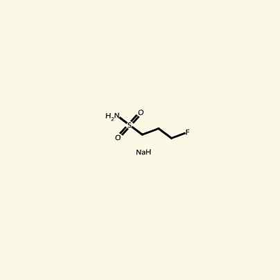 NS(=O)(=O)CCCF.[NaH]